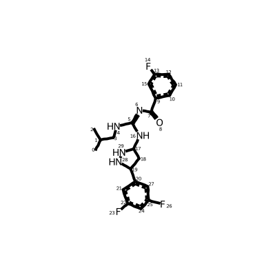 CC(C)CN/C(=N/C(=O)c1cccc(F)c1)NC1CC(c2cc(F)cc(F)c2)NN1